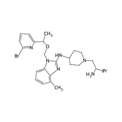 Cc1cccc2c1nc(NC1CCN(CC(N)C(C)C)CC1)n2COC(C)c1cccc(Br)n1